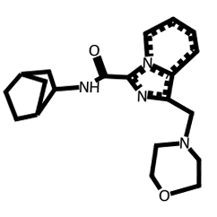 O=C(NC1CC2CCC1C2)c1nc(CN2CCOCC2)c2ccccn12